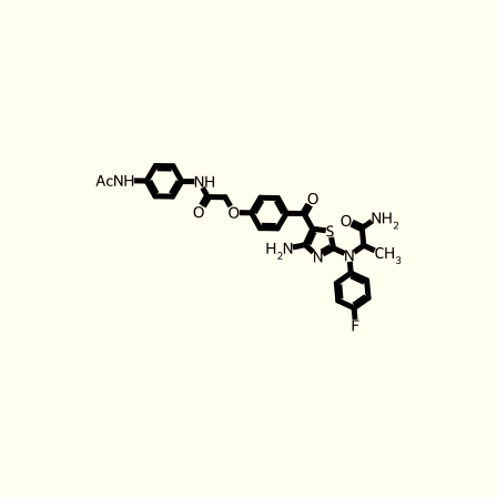 CC(=O)Nc1ccc(NC(=O)COc2ccc(C(=O)c3sc(N(c4ccc(F)cc4)C(C)C(N)=O)nc3N)cc2)cc1